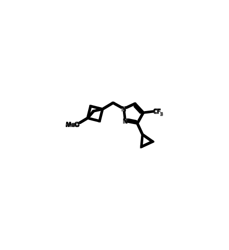 COC12CC(Cn3cc(C(F)(F)F)c(C4CC4)n3)(C1)C2